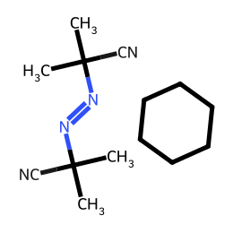 C1CCCCC1.CC(C)(C#N)/N=N/C(C)(C)C#N